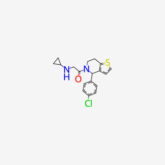 O=C(CNC1CC1)N1CCc2sccc2C1c1ccc(Cl)cc1